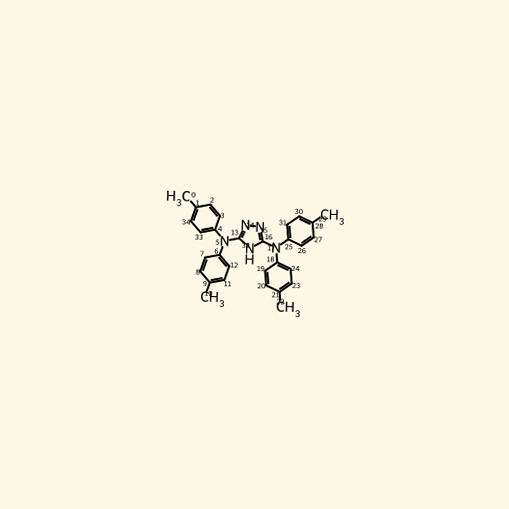 Cc1ccc(N(c2ccc(C)cc2)c2nnc(N(c3ccc(C)cc3)c3ccc(C)cc3)[nH]2)cc1